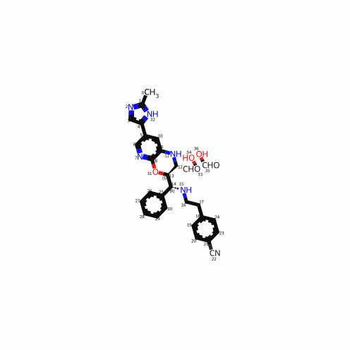 Cc1ncc(-c2cnc3c(c2)NC[C@@H]([C@H](NCCc2ccc(C#N)cc2)c2ccccc2)O3)[nH]1.O=CO.O=CO